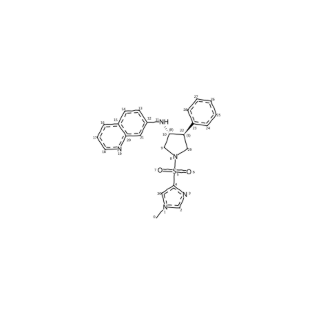 Cn1cnc(S(=O)(=O)N2C[C@H](Nc3ccc4cccnc4c3)[C@@H](c3ccccc3)C2)c1